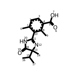 Cc1ccc(C(=O)O)c(C)c1C1=NC(C)(C(C)C)C(=O)N1